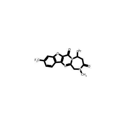 CCCC1CC(=O)N(C)Cc2nc3c(oc4cc(C(F)(F)F)ccc43)c(=O)n21